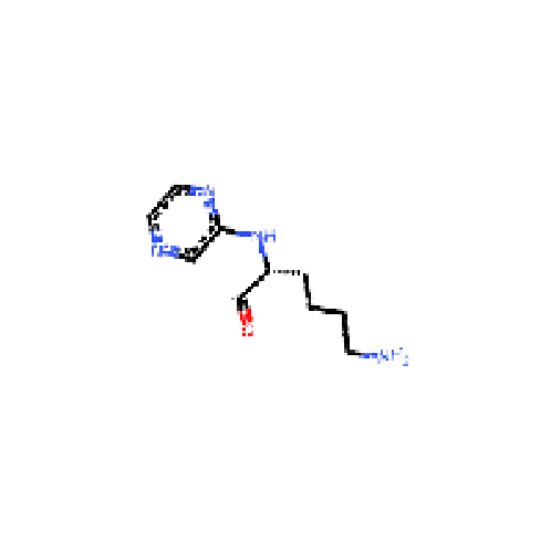 NCCCC[C@H]([C]=O)Nc1cnccn1